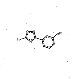 [CH2]Cc1nc(-c2cccc(CCC)c2)no1